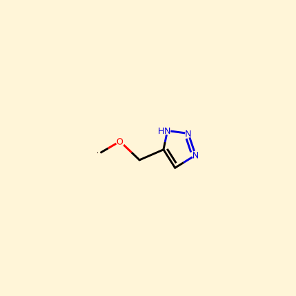 [CH2]OCc1cnn[nH]1